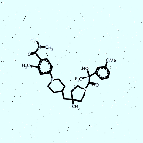 COc1cccc([C@@](O)(C(=O)N2CCC(C)(CC3CCN(c4ccc(C(=O)N(C)C)c(C)c4)CC3)CC2)C(F)(F)F)c1